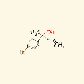 C=CC[C@](C)(O)c1ccc(Br)cc1